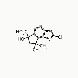 CC1(C)CC(O)(C(=O)O)c2cnc3cc(Cl)nn3c21